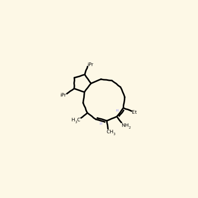 CC/C1=C(N)/C(C)=C\C(C)CC2C(C(C)C)CC(C(C)C)C2CCCC1